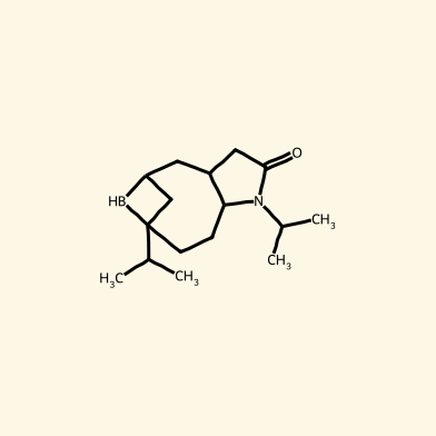 CC(C)N1C(=O)CC2CC3BC(C(C)C)(CCC21)C3